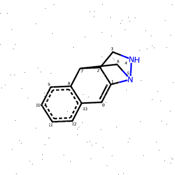 C1=C2C3CNN2CC3c2ccccc21